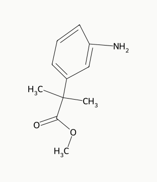 COC(=O)C(C)(C)c1cccc(N)c1